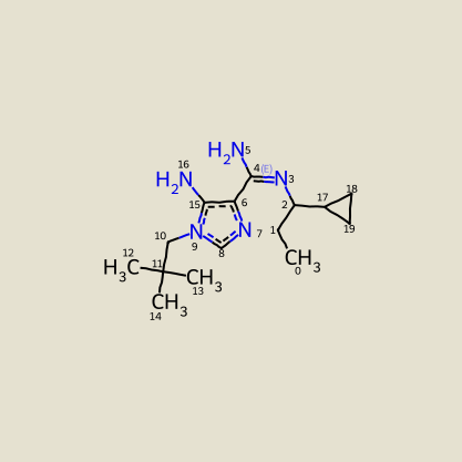 CCC(/N=C(/N)c1ncn(CC(C)(C)C)c1N)C1CC1